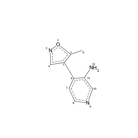 Cc1oncc1-c1ccncc1N